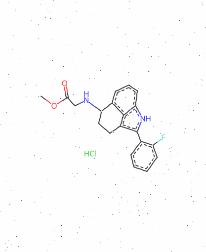 COC(=O)CNC1CCc2c(-c3ccccc3F)[nH]c3cccc1c23.Cl